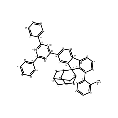 N#Cc1ccccc1-c1cccc2c1C1(c3cc(-c4nc(-c5ccccc5)nc(-c5ccccc5)n4)ccc3-2)C2CC3CC(C2)CC1C3